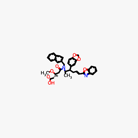 CO[C@@H](CC(=O)O)CC(=O)N(Cc1ccc2ccccc2c1)C(C)C(CC=Cc1nc2ccccc2o1)c1ccc2c(c1)OCO2